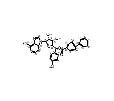 O=C(OC(c1ccc(Cl)cc1)[C@H]1O[C@@H](n2cnc3c(Cl)ncnc32)[C@H](O)[C@@H]1O)c1ccc(-c2ccccc2)cc1